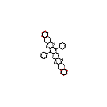 c1ccc(-c2c3cc4nc5c(nc4cc3c(-c3ccccc3)c3nc4c(nc23)C2c3ccccc3C4c3ccccc32)C2c3ccccc3C5c3ccccc32)cc1